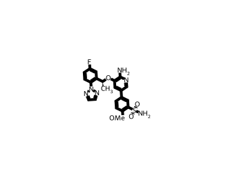 COc1ccc(-c2cnc(N)c(O[C@H](C)c3cc(F)ccc3-n3nccn3)c2)cc1S(N)(=O)=O